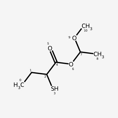 CCC(S)C(=O)OC(C)OC